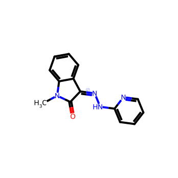 CN1C(=O)/C(=N\Nc2ccccn2)c2ccccc21